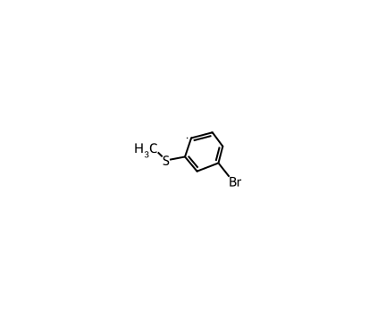 CSc1[c]ccc(Br)c1